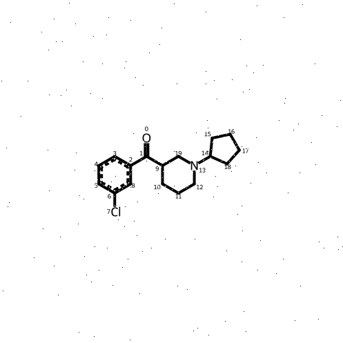 O=C(c1cccc(Cl)c1)C1CCCN(C2CCCC2)C1